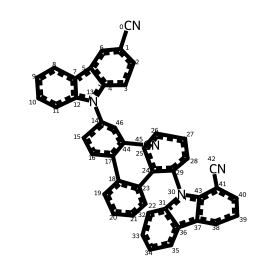 N#Cc1ccc2c(c1)c1ccccc1n2-c1ccc(-c2ccccc2-c2ccccc2-n2c3ccccc3c3cccc(C#N)c32)c(C#N)c1